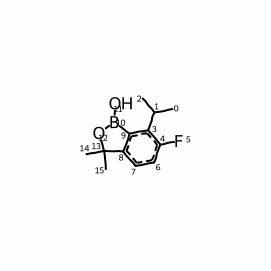 CC(C)c1c(F)ccc2c1B(O)OC2(C)C